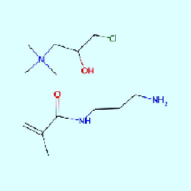 C=C(C)C(=O)NCCCN.C[N+](C)(C)CC(O)CCl